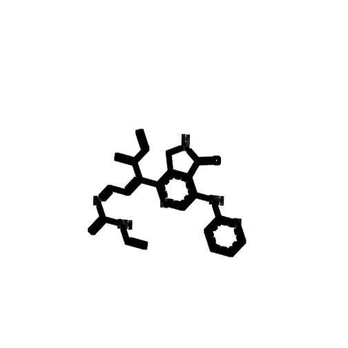 C=CNC(=C)/N=C\C=C(/C(=C)C=C)c1ncc(Nc2ccccn2)c2c1CNC2=O